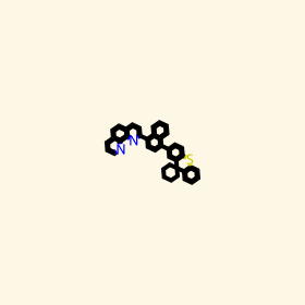 c1ccc2c(c1)Sc1ccc(-c3ccc(-c4ccc5ccc6cccnc6c5n4)c4ccccc34)cc1C21CCCCC1